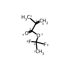 C=C(C)C(=O)OC(C)(F)F